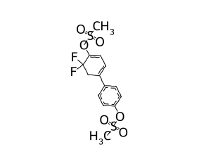 CS(=O)(=O)OC1=CC=C(c2ccc(OS(C)(=O)=O)cc2)CC1(F)F